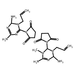 C=CCN1C(N)N=C(N)N(C)C1N1C(=O)CCC1=O.C=CCN1C(N2C(=O)CCC2=O)=NC(N)=NC1N